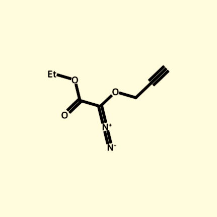 C#CCOC(=[N+]=[N-])C(=O)OCC